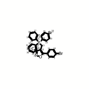 Cc1noc(-c2ccc(Br)cc2)c1C[P+](c1ccccc1)(c1ccccc1)c1ccccc1.[Br-]